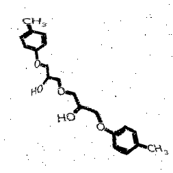 Cc1ccc(OCC(O)COCC(O)COc2ccc(C)cc2)cc1